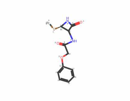 CC(C)S[C@H]1NC(=O)C1NC(=O)COc1ccccc1